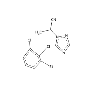 CC(C#N)n1cncn1.CCc1cccc(Cl)c1Cl